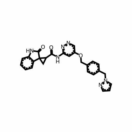 O=C(Nc1cc(OCc2ccc(Cn3cccn3)cc2)cnn1)C1CC12C(=O)Nc1ccccc12